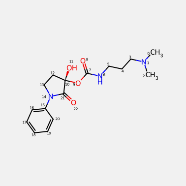 CN(C)CCCNC(=O)O[C@@]1(O)CCN(c2ccccc2)C1=O